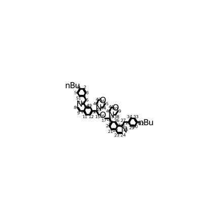 CCCCc1ccc(Cc2nccc3ccc(C(COCC(c4ccc5ccnc(Cc6ccc(CCCC)cc6)c5c4)N4CCOCC4)N4CCOCC4)cc23)cc1